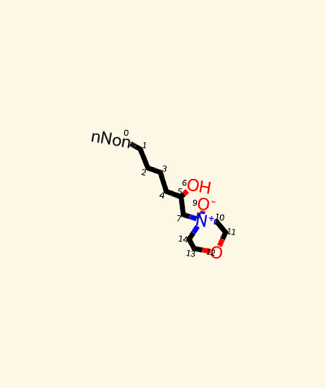 CCCCCCCCCCCCCC(O)C[N+]1([O-])CCOCC1